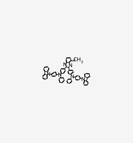 CCc1cccc2nc(-c3ccc(N(c4ccccc4)c4ccc(-n5c6ccccc6c6ccccc65)cc4)cc3)c(-c3ccc(N(c4ccccc4)c4ccc(-n5c6ccccc6c6ccccc65)cc4)cc3)nc12